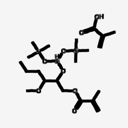 C=C(C)C(=O)O.C=C(C)C(=O)OCC(O[SiH](O[Si](C)(C)C)O[Si](C)(C)C)C(CCC)OC